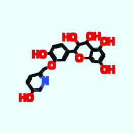 Oc1ccc(COc2cc(C3Oc4cc(O)cc(O)c4C(O)C3O)ccc2O)nc1